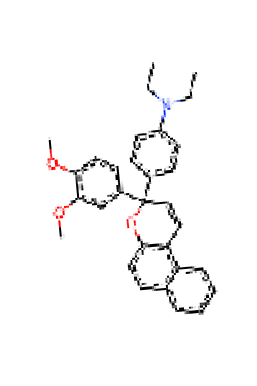 CCN(CC)c1ccc(C2(c3ccc(OC)c(OC)c3)C=Cc3c(ccc4ccccc34)O2)cc1